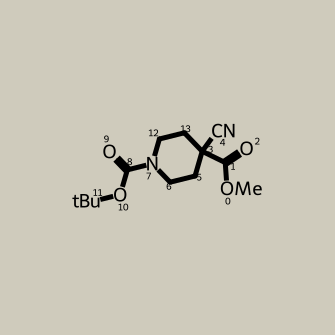 COC(=O)C1(C#N)CCN(C(=O)OC(C)(C)C)CC1